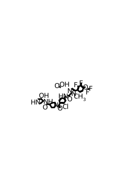 Cn1c(-c2ccc(OC(F)F)c(F)c2F)cnc1C(=O)Nc1ccc(C(=O)N2CCC(C(=O)N[C@@H]3CNC[C@H]3O)CC2)c(Cl)c1.O=CO